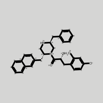 N[C@H](Cc1ccc(Cl)cc1Cl)C(=O)N1C[C@H](Cc2ccccc2)NC[C@H]1Cc1ccc2ccccc2c1